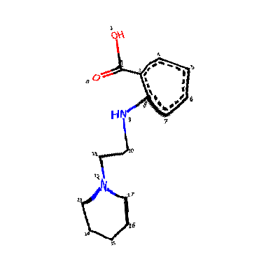 O=C(O)c1ccc[c]c1NCCN1CCCCC1